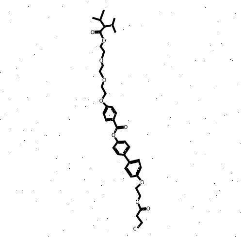 CC(C)C(C(=O)OCCOCCOCCOc1ccc(C(=O)Oc2ccc(-c3ccc(OCCOC(=O)CCCl)cc3)cc2)cc1)C(C)C